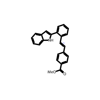 COC(=O)c1ccc(/C=C/c2ccccc2-c2cc3ccccc3[nH]2)cc1